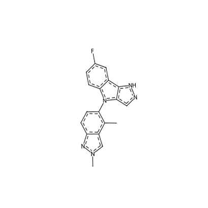 Cc1c(-n2c3ccc(F)cc3c3[nH]ncc32)ccc2nn(C)cc12